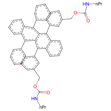 CCCNC(=O)OCc1cccc(-c2c3ccccc3c(-c3cccc(COC(=O)NCCC)c3)c3c(-c4ccccc4)c4ccccc4c(-c4ccccc4)c23)c1